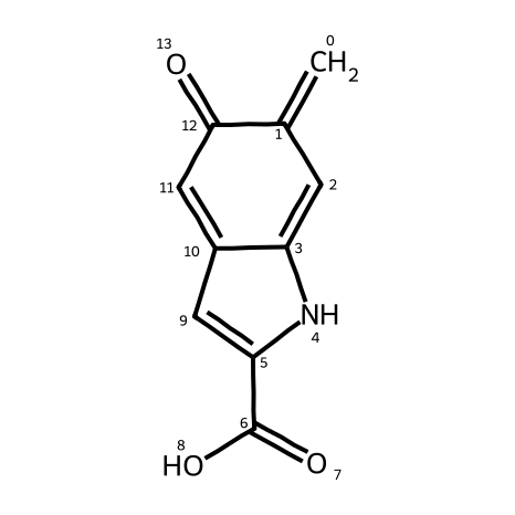 C=C1C=c2[nH]c(C(=O)O)cc2=CC1=O